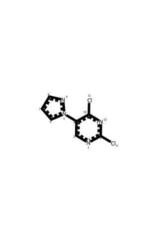 Clc1ncc(-n2cccn2)c(Cl)n1